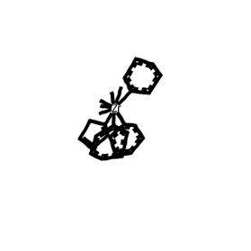 [CH3][Zr]([CH3])([CH3])([CH3])([CH3])([C]1=CC=CC1)([c]1ccccc1)([c]1ccccc1)[c]1ccccc1